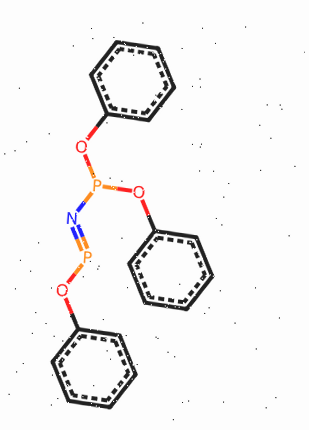 c1ccc(OP=NP(Oc2ccccc2)Oc2ccccc2)cc1